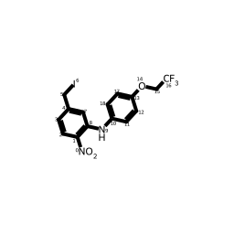 O=[N+]([O-])c1ccc(CI)cc1Nc1ccc(OCC(F)(F)F)cc1